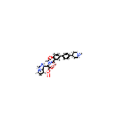 CN1CCC(c2ccc(-c3ccc4c(c3)C(=O)N(C(C(=O)O)c3ncn5c3CCC5)CO4)cc2)CC1